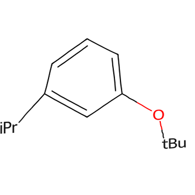 CC(C)c1cccc(OC(C)(C)C)c1